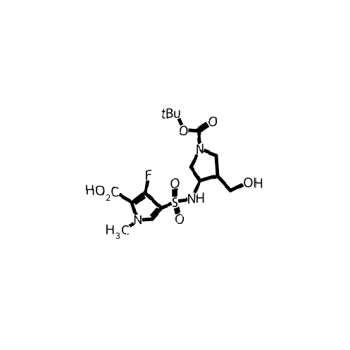 Cn1cc(S(=O)(=O)NC2CN(C(=O)OC(C)(C)C)CC2CO)c(F)c1C(=O)O